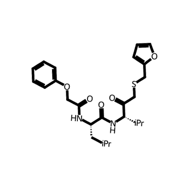 CC(C)C[C@H](NC(=O)COc1ccccc1)C(=O)N[C@H](C(=O)CSCc1ccco1)C(C)C